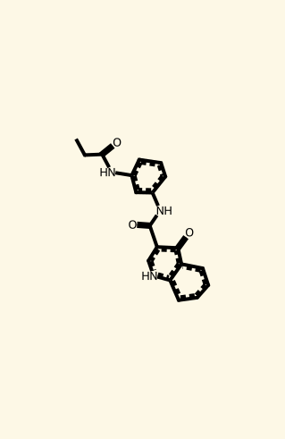 CCC(=O)Nc1cccc(NC(=O)c2c[nH]c3ccccc3c2=O)c1